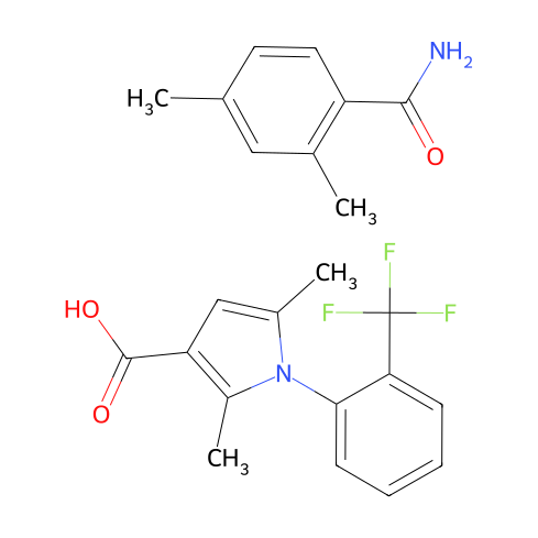 Cc1cc(C(=O)O)c(C)n1-c1ccccc1C(F)(F)F.Cc1ccc(C(N)=O)c(C)c1